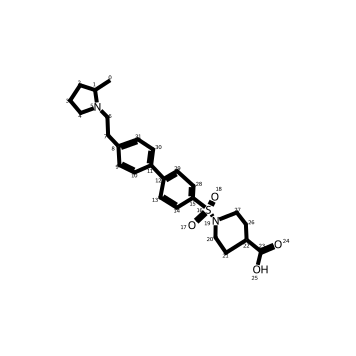 CC1CCCN1CCc1ccc(-c2ccc(S(=O)(=O)N3CCC(C(=O)O)CC3)cc2)cc1